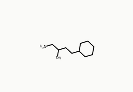 NCC(O)CCC1CCCCC1